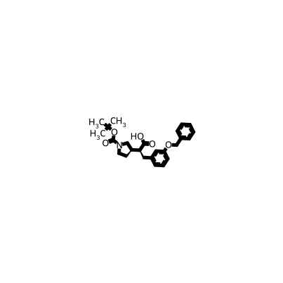 CC(C)(C)OC(=O)N1CC[C@H]([C@H](Cc2cccc(OCc3ccccc3)c2)C(=O)O)C1